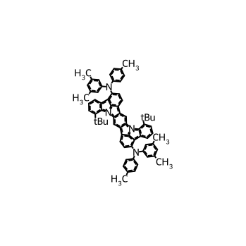 Cc1ccc(N(c2cc(C)cc(C)c2)c2ccc3c4cc5c(cc4n4c6c(C(C)(C)C)cccc6c2c34)c2ccc(N(c3ccc(C)cc3)c3cc(C)cc(C)c3)c3c4cccc(C(C)(C)C)c4n5c23)cc1